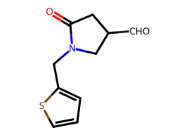 O=CC1CC(=O)N(Cc2cccs2)C1